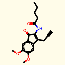 C#CCC1=C(NC(=O)CCCC)C(=O)c2cc(OC)c(OC)cc21